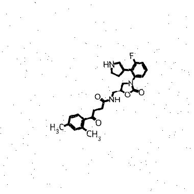 Cc1ccc(C(=O)CCC(=O)NC[C@H]2CN(c3cccc(F)c3C3CCNC3)C(=O)O2)c(C)c1